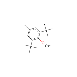 Cc1cc(C(C)(C)C)c([O-])c(C(C)(C)C)c1.[Cs+]